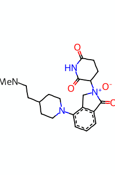 CNCCC1CCN(c2cccc3c2C[N+]([O-])(C2CCC(=O)NC2=O)C3=O)CC1